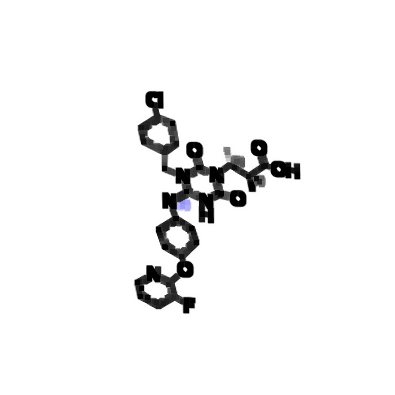 C[C@H](C(=O)O)[C@@H](C)n1c(=O)[nH]/c(=N\c2ccc(Oc3ncccc3F)cc2)n(Cc2ccc(Cl)cc2)c1=O